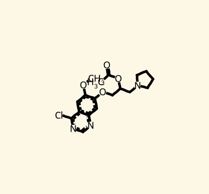 COc1cc2c(Cl)ncnc2cc1OCC(CN1CCCC1)OC(C)=O